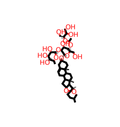 CC1CCC2(OC1)OC1CC3C4CC=C5C[C@@H](O[C@@H]6OC(CO)[C@@H](OC(C)O[C@@H](CO)C(O)CO)C(O)C6O[C@@H]6OC(C)[C@H](O)C(O)C6O)CC[C@]5(C)C4CC[C@]3(C)C1[C@@H]2C